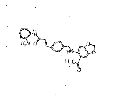 CC(=O)c1cc2c(cc1NCc1ccc(/C=C/C(=O)Nc3ccccc3N)cc1)OCO2